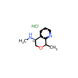 CN[C@@H]1COC(C)c2ncccc21.Cl